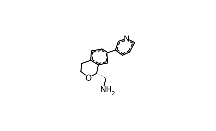 NC[C@@H]1OCCc2ccc(-c3cccnc3)cc21